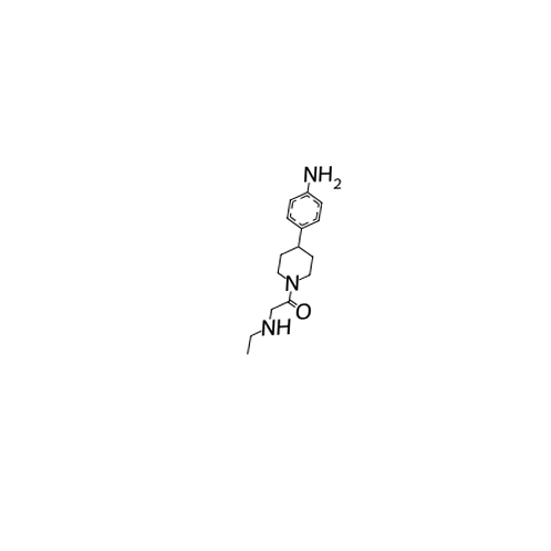 CCNCC(=O)N1CCC(c2ccc(N)cc2)CC1